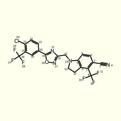 N#Cc1ccc2c(c1C(F)(F)F)CCN2Cc1noc(-c2ccc(Cl)c(C(F)(F)F)c2)n1